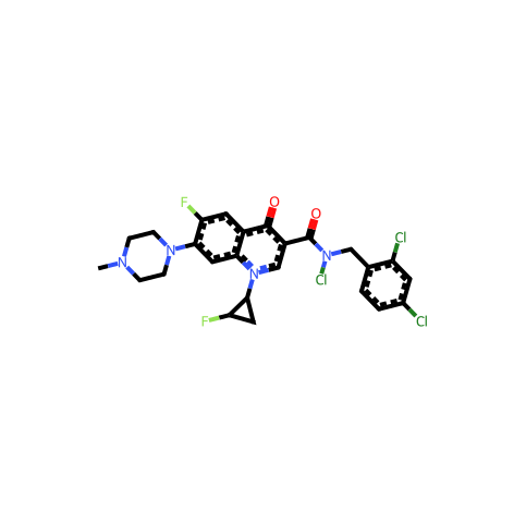 CN1CCN(c2cc3c(cc2F)c(=O)c(C(=O)N(Cl)Cc2ccc(Cl)cc2Cl)cn3C2CC2F)CC1